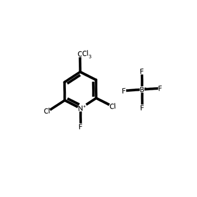 F[B-](F)(F)F.F[n+]1c(Cl)cc(C(Cl)(Cl)Cl)cc1Cl